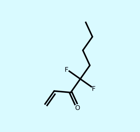 C=CC(=O)C(F)(F)CCCC